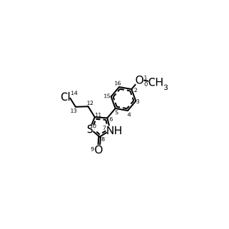 COc1ccc(-c2[nH]c(=O)sc2CCCl)cc1